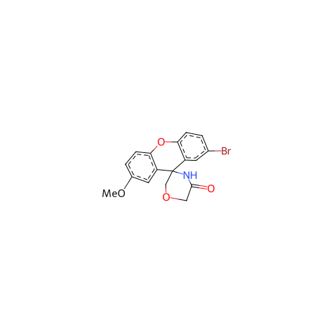 COc1ccc2c(c1)C1(COCC(=O)N1)c1cc(Br)ccc1O2